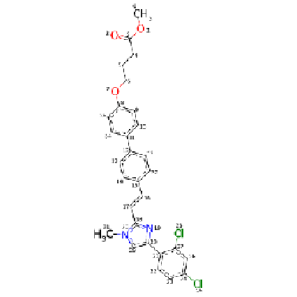 COC(=O)CCCOc1ccc(-c2ccc(/C=C/c3nc(-c4ccc(Cl)cc4Cl)cn3C)cc2)cc1